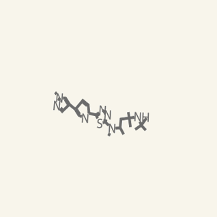 CC(CC(C)(C)NC(C)(C)C)N(C)c1nnc(-c2ccc(-c3cnn(C)c3)cn2)s1